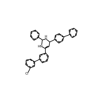 Clc1cccc(-c2cccc(C3=CC(c4ccc(-c5ccccc5)cc4)NC(c4ccccc4)N3)c2)c1